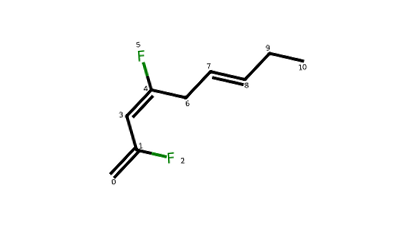 C=C(F)/C=C(/F)CC=CCC